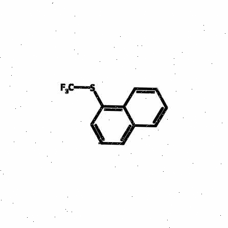 FC(F)(F)Sc1c[c]cc2ccccc12